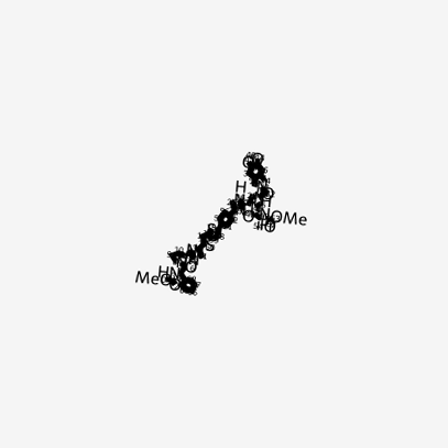 COC(=O)NC(C(=O)N1CCC[C@H]1c1nc(-c2cc3sc(-c4ccc(-c5c[nH]c([C@@H]6CN(C(=O)N7Cc8cc9c(cc8C7)OCO9)CN6C(=O)[C@@H](NC(=O)OC)C(C)C)n5)cc4)cc3s2)c[nH]1)c1ccccc1